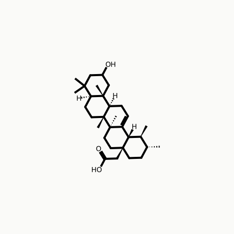 C[C@H]1[C@H](C)CC[C@]2(CC(=O)O)CC[C@]3(C)C(=CC[C@@H]4[C@@]5(C)CC(O)CC(C)(C)[C@@H]5CC[C@]43C)[C@H]12